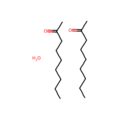 CCCCCCCC(C)=O.CCCCCCCC(C)=O.O